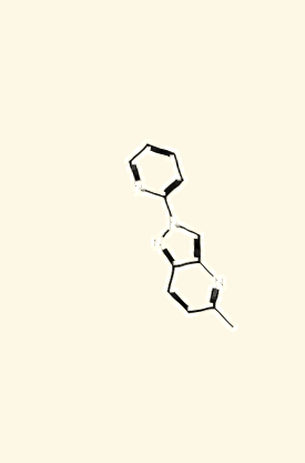 Cc1ccc2nn(-c3ccccn3)cc2n1